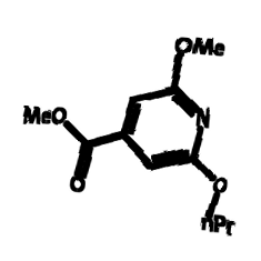 CCCOc1cc(C(=O)OC)cc(OC)n1